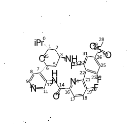 CC(C)[C@@H]1C[C@@H](N)C[C@H](c2ccncc2NC(=O)c2ccc(F)c(-c3c(F)cc(S(C)(=O)=O)cc3F)n2)O1